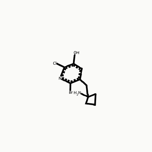 NC1(Cc2cc(O)c(Cl)nc2Br)CCC1